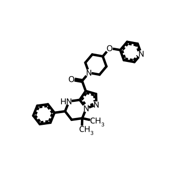 CC1(C)CC(c2ccccc2)Nc2c(C(=O)N3CCC(Oc4ccncc4)CC3)cnn21